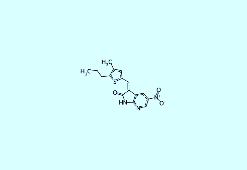 CCCc1sc(C=C2C(=O)Nc3ncc([N+](=O)[O-])cc32)cc1C